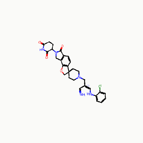 N=C/C(=C\Nc1ccccc1Cl)CN1CCC2(CC1)COc1c2ccc2c1CN(C1CCC(=O)NC1=O)C2=O